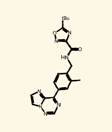 Cc1cc(-c2ncnn3ccnc23)ccc1CNC(=O)c1noc(C(C)(C)C)n1